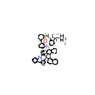 CC(C)(C)c1ccc(N(c2cc3c(c4ccccc24)-c2c(ccc4ccccc24)C32c3ccccc3-n3c4ccccc4c4cccc2c43)c2cccc3c2oc2c(F)cccc23)cc1